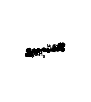 CC1(C)c2cc(/C=C/c3ccc(-c4ccc(/C=C/c5ccc6c(c5)C(C)(C)c5cc(N(c7ccccc7)c7cccc8ccccc78)ccc5-6)cc4)cc3)ccc2-c2ccc(N(c3ccccc3)c3cccc4ccccc34)cc21